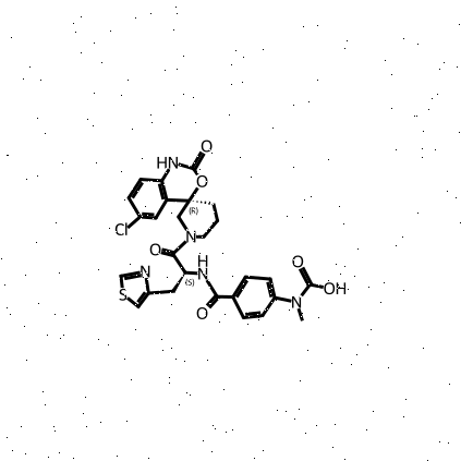 CN(C(=O)O)c1ccc(C(=O)N[C@@H](Cc2cscn2)C(=O)N2CCC[C@@]3(C2)OC(=O)Nc2ccc(Cl)cc23)cc1